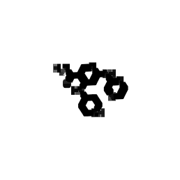 NC(=O)c1cnc(Nc2cnccn2)cc1NC1CCNCC1